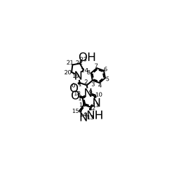 O=C(C(c1ccccc1)n1cnc2[nH]ncc2c1=O)N1CCC(O)C1